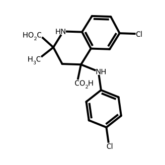 CC1(C(=O)O)CC(Nc2ccc(Cl)cc2)(C(=O)O)c2cc(Cl)ccc2N1